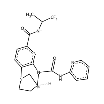 CC(NC(=O)c1ccc2c(n1)N(C(=O)Nc1ccccn1)[C@H]1CCN2C1)C(F)(F)F